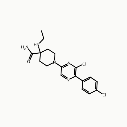 CCNC1(C(N)=O)CCN(c2cnc(-c3ccc(Cl)cc3)c(Cl)n2)CC1